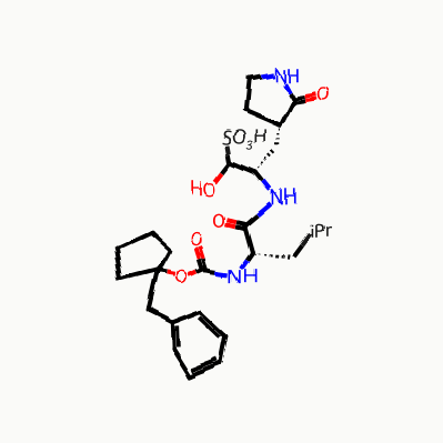 CC(C)C[C@H](NC(=O)OC1(Cc2ccccc2)CCCC1)C(=O)N[C@@H](C[C@@H]1CCNC1=O)C(O)S(=O)(=O)O